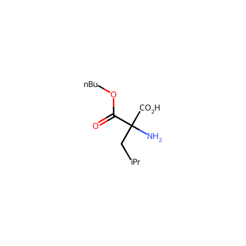 CCCCOC(=O)C(N)(CC(C)C)C(=O)O